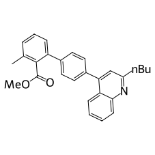 CCCCc1cc(-c2ccc(-c3cccc(C)c3C(=O)OC)cc2)c2ccccc2n1